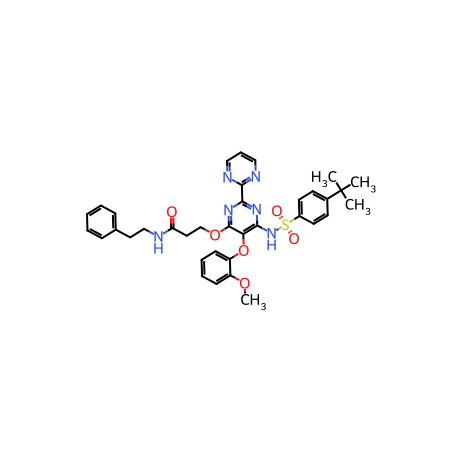 COc1ccccc1Oc1c(NS(=O)(=O)c2ccc(C(C)(C)C)cc2)nc(-c2ncccn2)nc1OCCC(=O)NCCc1ccccc1